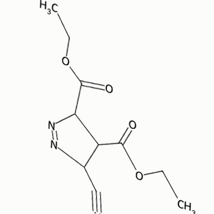 CCOC(=O)C1N=NC(C#N)C1C(=O)OCC